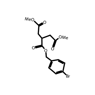 COC(=O)CC(CC(=O)OC)C(=O)OCc1ccc(Br)cc1